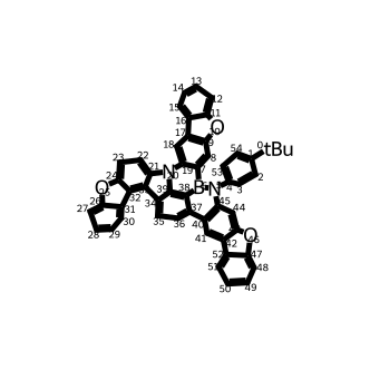 CC(C)(C)c1ccc(N2B3c4cc5oc6ccccc6c5cc4-n4c5ccc6oc7ccccc7c6c5c5ccc(c3c54)-c3cc4c(cc32)oc2ccccc24)cc1